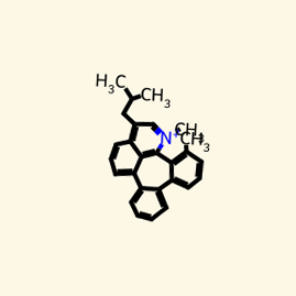 Cc1cccc2c1-c1c3c(cccc3c(CC(C)C)c[n+]1C)-c1ccccc1-2